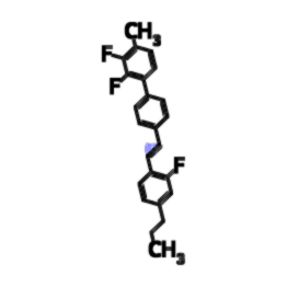 CCCc1ccc(/C=C/c2ccc(-c3ccc(C)c(F)c3F)cc2)c(F)c1